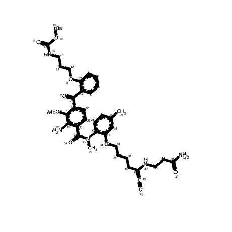 COc1c(C(=O)c2ccccc2OCCCNC(=O)OC(C)(C)C)ccc(C(=O)N(C)c2ccc(C)cc2OCCCCC(=C=O)NCCC(N)=O)c1N